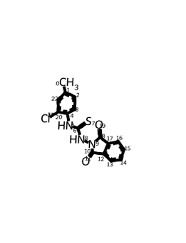 Cc1ccc(NC(=S)NN2C(=O)c3ccccc3C2=O)c(Cl)c1